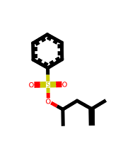 C=C(C)CC(C)OS(=O)(=O)c1ccccc1